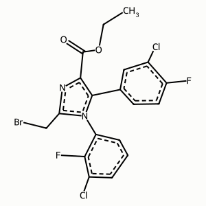 CCOC(=O)c1nc(CBr)n(-c2cccc(Cl)c2F)c1-c1ccc(F)c(Cl)c1